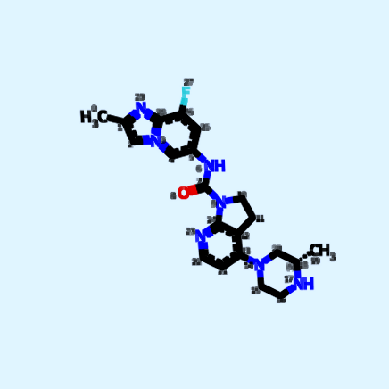 Cc1cn2cc(NC(=O)N3CCc4c(N5CCN[C@@H](C)C5)ccnc43)cc(F)c2n1